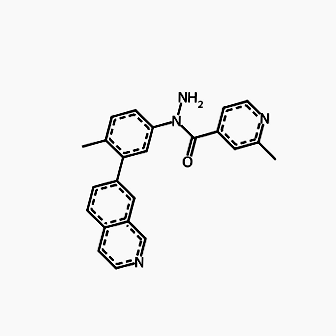 Cc1cc(C(=O)N(N)c2ccc(C)c(-c3ccc4ccncc4c3)c2)ccn1